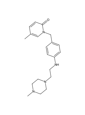 Cc1ccc(=O)n(Cc2ccc(NCCN3CCN(C)CC3)cc2)c1